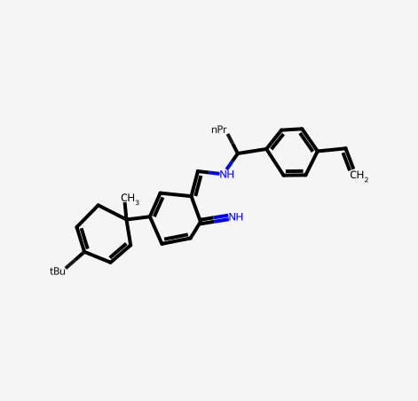 C=Cc1ccc(C(CCC)N/C=C2/C=C(C3(C)C=CC(C(C)(C)C)=CC3)C=CC2=N)cc1